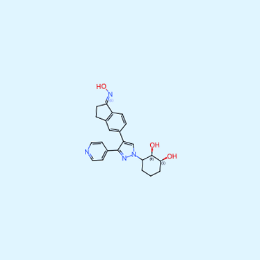 O/N=C1\CCc2cc(-c3cn(C4CCC[C@H](O)[C@@H]4O)nc3-c3ccncc3)ccc21